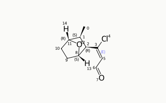 C[C@H]1[C@@H](/C(Cl)=C\C=O)[C@@H]2CC[C@H]1O2